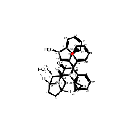 Cn1cc(CN(C(=O)N2[C@H]3CC[C@@H]2[C@@H](C(=O)O)N(C(=O)N(c2ccccc2)c2ccccc2)C3)C2CC2)c2ccccc21